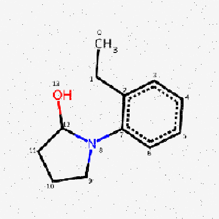 CCc1ccccc1N1CCCC1O